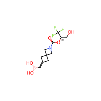 O=C(O[C@H](CO)C(F)(F)F)N1CC2(CC(=CB(O)O)C2)C1